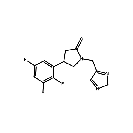 O=C1CC(c2cc(F)cc(F)c2F)CN1CC1=NCN=C1